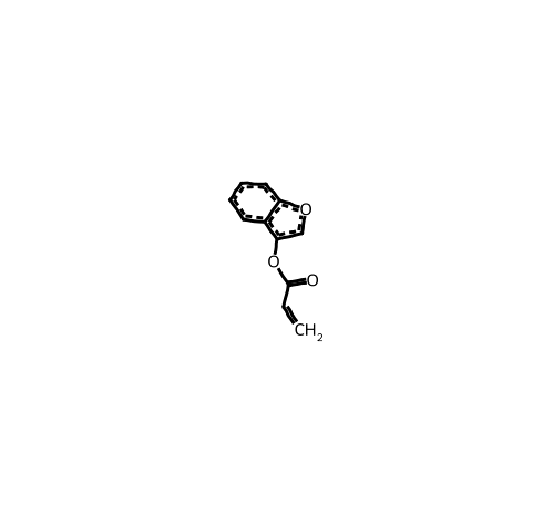 C=CC(=O)Oc1coc2ccccc12